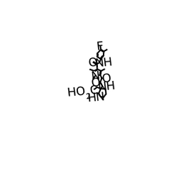 Cc1cc(NC(=O)c2c(C)c(C(=O)C(=O)NC3(CC(=O)O)CCCNC3)n(C)c2C)ccc1F